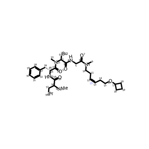 CCC(C)C(C(=O)NCC(=O)N(C)CC/C=C\CCOC1CCC1)N(C)C(=O)[C@@H](Cc1ccccc1)NC(=O)C(CC(C)C)NC